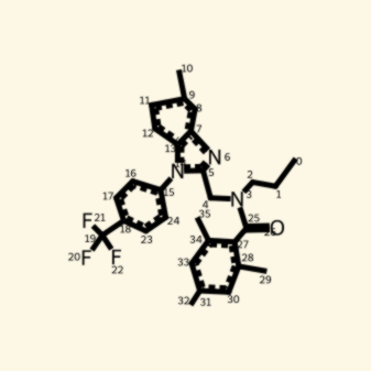 CCCN(Cc1nc2cc(C)ccc2n1-c1ccc(C(F)(F)F)cc1)C(=O)c1c(C)cc(C)cc1C